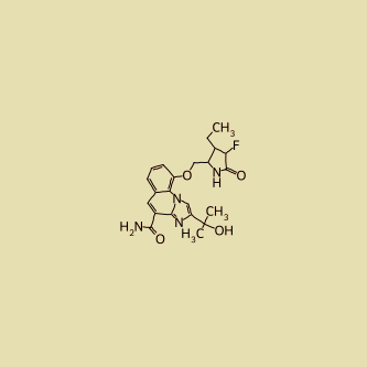 CCC1C(COc2cccc3cc(C(N)=O)c4nc(C(C)(C)O)cn4c23)NC(=O)C1F